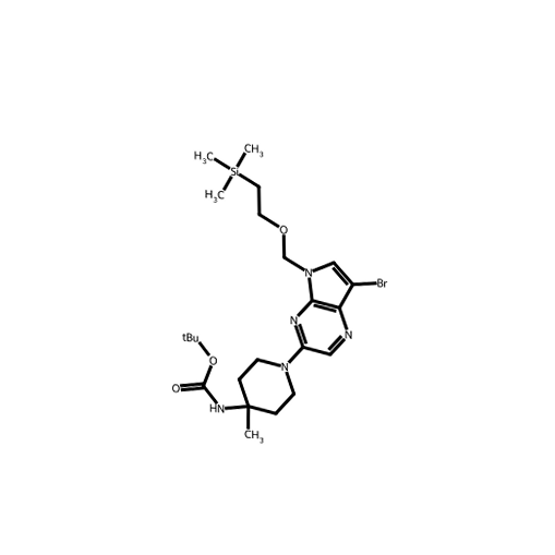 CC1(NC(=O)OC(C)(C)C)CCN(c2cnc3c(Br)cn(COCC[Si](C)(C)C)c3n2)CC1